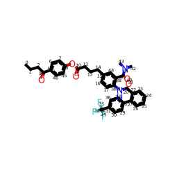 CCCC(=O)c1ccc(OC(=O)CCCc2ccc(NC(=O)c3ccccc3-c3ccc(C(F)(F)F)cc3)c(C(=O)N(C)C)c2)cc1